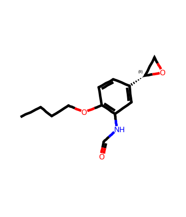 CCCCOc1ccc([C@@H]2CO2)cc1NC=O